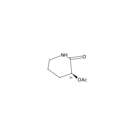 CC(=O)O[C@H]1CCCNC1=O